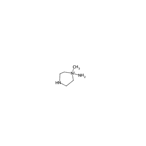 C[N+]1(N)CCNCC1